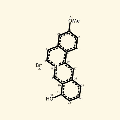 COc1ccc2c(cc[n+]3cc4c(O)cccc4cc23)c1.[Br-]